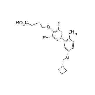 Cc1ccc(OCC2CCC2)cc1-c1cc(F)c(OCCCC(=O)O)c(F)c1